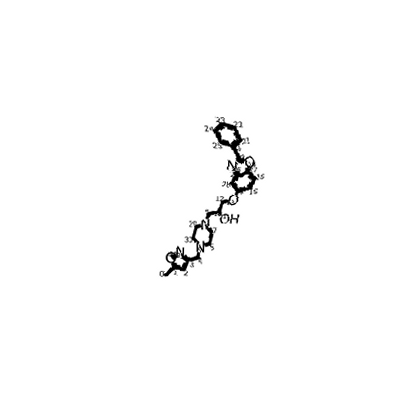 Cc1cc(CN2CCN(CC(O)COc3ccc4oc(-c5ccccc5)nc4c3)CC2)no1